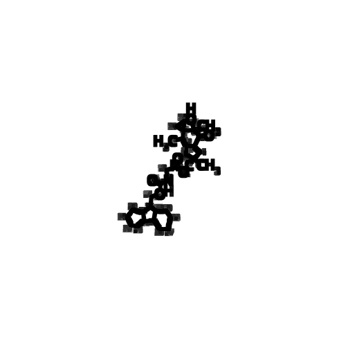 CC1=C2C(=CC(C)(C)[C@@H]2OC(=O)CNC(=O)OCC2c3ccccc3-c3ccccc32)C(=O)[C@](C)(O)C12CC2